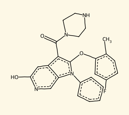 Cc1ccc(F)cc1Oc1c(C(=O)N2CCNCC2)c2cc(O)ncc2n1-c1ccccc1